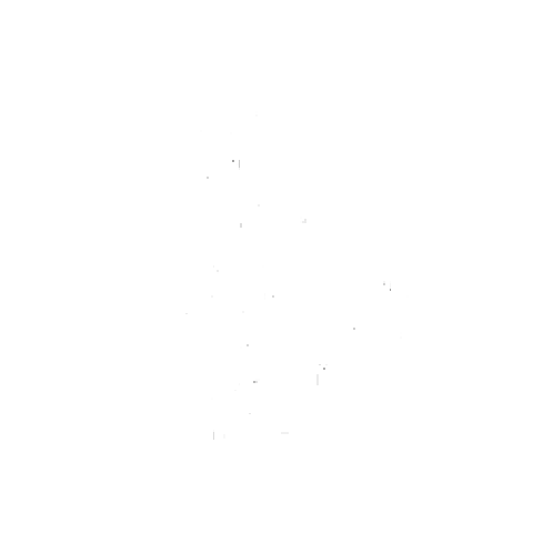 CC(C)(C)[C@H](NC(=O)N[C@H](CN1C(=O)c2ccccc2C1=O)C(C)(C)C)C(=O)N1C[C@H]2[C@@H]([C@H]1C(=O)NC(CC1CCC1)C(=O)C(N)=O)C2(C)C